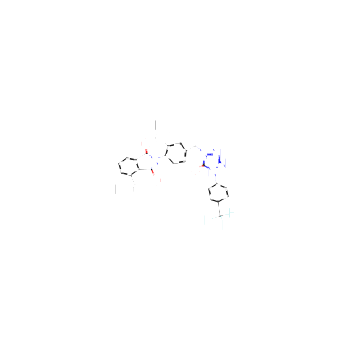 Cc1cc(Cn2nnn(-c3ccc(C(F)(F)F)cc3)c2=O)ccc1N1C(=O)c2cccc(C)c2C1=O